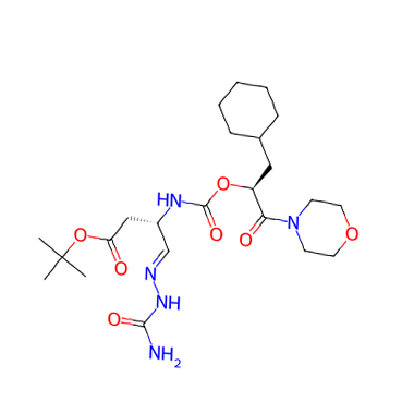 CC(C)(C)OC(=O)C[C@@H](/C=N/NC(N)=O)NC(=O)O[C@@H](CC1CCCCC1)C(=O)N1CCOCC1